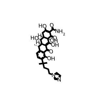 C[C@H]1c2ccc(C(C)(C)CCCn3ccnc3)c(O)c2C(=O)C2=C(O)[C@]3(O)C(=O)C(C(N)=O)=C(O)C[C@@H]3[C@@H](O)[C@@H]21